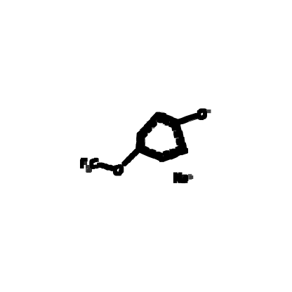 [Na+].[O-]c1ccc(OC(F)(F)F)cc1